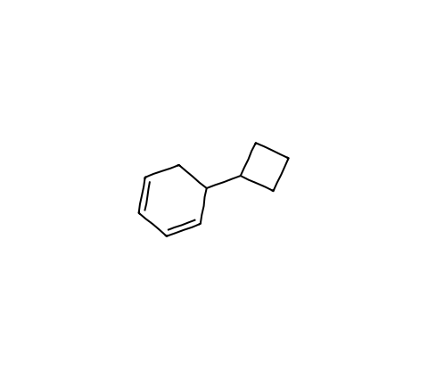 C1=CCC(C2CCC2)C=C1